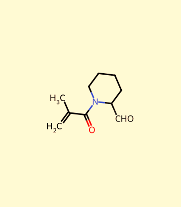 C=C(C)C(=O)N1CCCCC1C=O